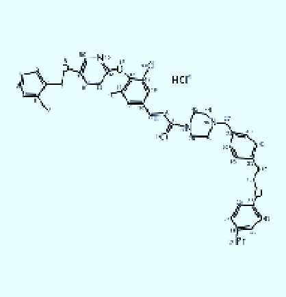 Cc1ccccc1COc1ccc(Oc2c(C)cc(/C=C/C(=O)N3CCN(Cc4ccc(CCOc5ccc(C(C)C)cc5)cc4)CC3)cc2Cl)nc1.Cl